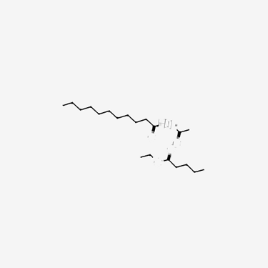 CC(=O)O.CCCCC(=O)OCC.CCCCCCCCCCC(=O)O